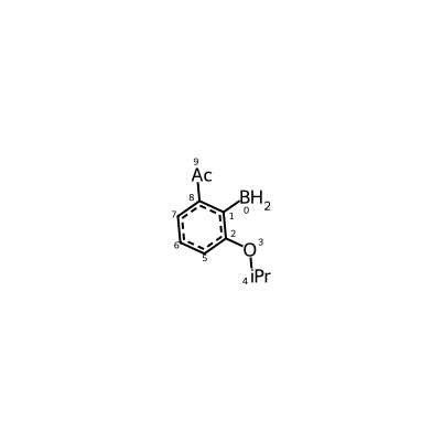 Bc1c(OC(C)C)cccc1C(C)=O